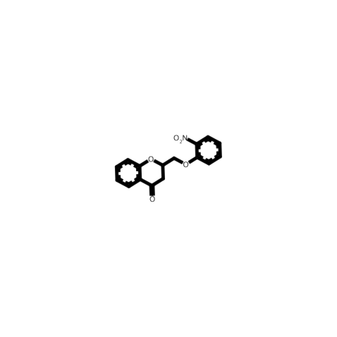 O=C1CC(COc2ccccc2[N+](=O)[O-])Oc2ccccc21